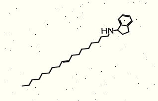 CCCCCCCCC=CCCCCCCCCNC1CCc2ccccc21